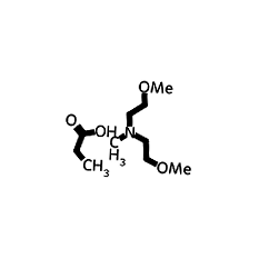 CCC(=O)O.COCCN(C)CCOC